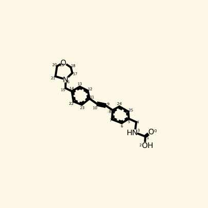 O=C(O)NCc1ccc(C#Cc2ccc(CN3CCOCC3)cc2)cc1